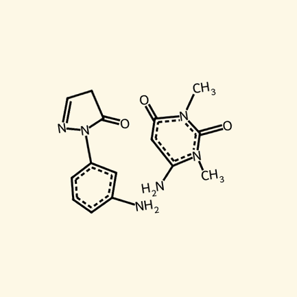 Cn1c(N)cc(=O)n(C)c1=O.Nc1cccc(N2N=CCC2=O)c1